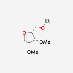 CCOC[C@H]1OCC(OC)C1OC